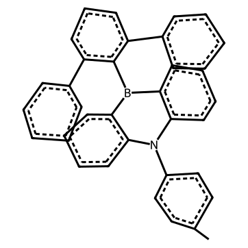 Cc1ccc(N2c3ccccc3B(c3c(-c4ccccc4)cccc3-c3ccccc3)c3ccccc32)cc1